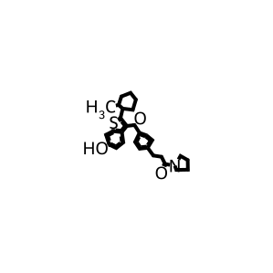 CC1CCCCC1c1sc2cc(O)ccc2c1C(=O)c1ccc(CCC(=O)N2CCCC2)cc1